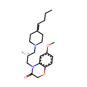 CCCC=C1CCN(C[C@@H](C)CN2C(=O)COc3ccc(OC)cc32)CC1